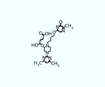 Cc1cc(C)nc(N2CCN(CCCCOc3cnn(C)c(=O)n3)CC2)n1.O=C(O)/C=C/C(=O)O